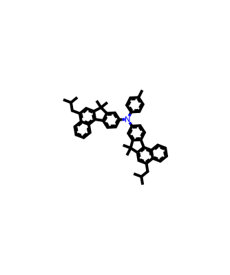 Cc1ccc(N(c2ccc3c(c2)C(C)(C)c2cc(CC(C)C)c4ccccc4c2-3)c2ccc3c(c2)C(C)(C)c2cc(CC(C)C)c4ccccc4c2-3)cc1